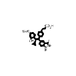 COc1ccc(/C(=C(\c2ccc(/C=C/C(=O)O)cc2)c2ccc3c(c2)C(F)NN3)C2CC2)c(C)c1